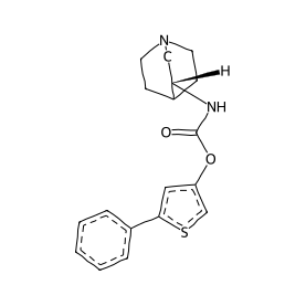 O=C(N[C@H]1CN2CCC1CC2)Oc1csc(-c2ccccc2)c1